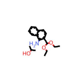 CC(C)O.CCOC(OCC)c1ccc2ccccc2c1N